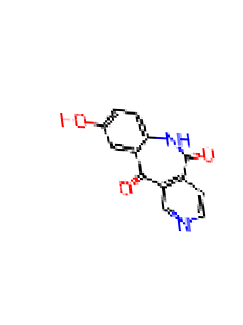 O=c1[nH]c2ccc(O)cc2c(=O)c2cnccc12